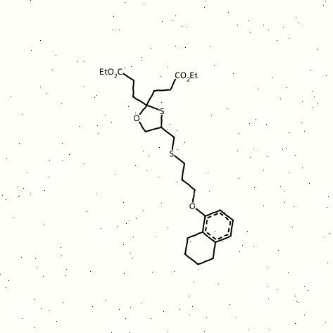 CCOC(=O)CCC1(CCC(=O)OCC)OCC(CSCCCOc2cccc3c2CCCC3)S1